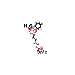 COC(=O)CCCCCCCS(=O)(=O)N(C)c1ccccc1